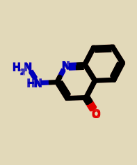 NNC1=CC(=O)C2C=CC=CC2=N1